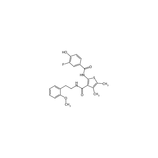 COc1ccccc1CCNC(=O)c1c(NC(=O)c2ccc(O)c(F)c2)sc(C)c1C